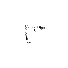 [BaH+].[BaH2].[OH-].[O]=[Ti].[SrH2].[SrH2].[Ti]